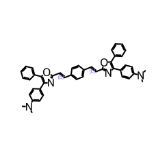 CN(C)c1ccc(-c2nc(/C=C/c3ccc(/C=C/c4nc(-c5ccc(N(C)C)cc5)c(-c5ccccc5)o4)cc3)oc2-c2ccccc2)cc1